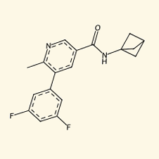 Cc1ncc(C(=O)NC23CC(C2)C3)cc1-c1cc(F)cc(F)c1